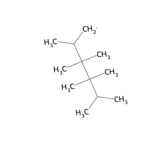 [CH2]C(C)C(C)(C)C(C)(C)C(C)C